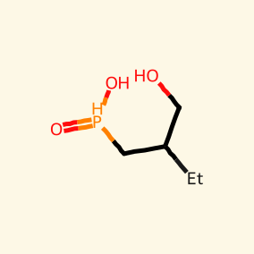 CCC(CO)C[PH](=O)O